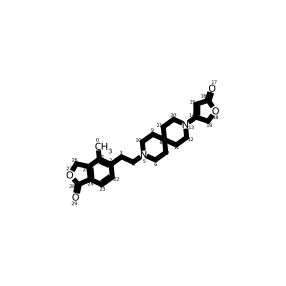 Cc1c(CCN2CCC3(CC2)CCN(C2=CC(=O)OC2)CC3)ccc2c1COC2=O